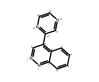 [c]1nnc2ccccc2c1-c1cnccn1